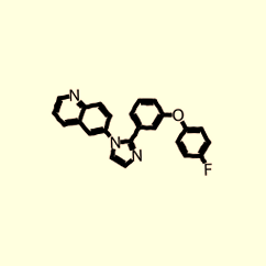 Fc1ccc(Oc2cccc(-c3nccn3-c3ccc4ncccc4c3)c2)cc1